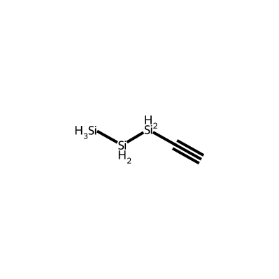 C#C[SiH2][SiH2][SiH3]